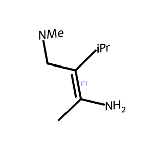 CNC/C(=C(\C)N)C(C)C